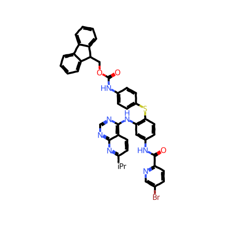 CC(C)c1ccc2c(Nc3cc(NC(=O)c4ccc(Br)cn4)ccc3Sc3ccc(NC(=O)OCC4c5ccccc5-c5ccccc54)cc3)ncnc2n1